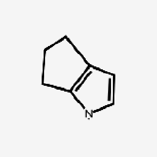 C1=CC2=C(CCC2)[N]1